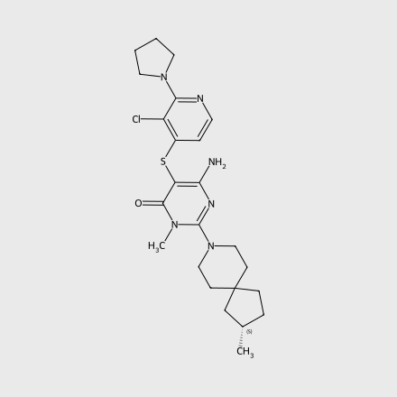 C[C@H]1CCC2(CCN(c3nc(N)c(Sc4ccnc(N5CCCC5)c4Cl)c(=O)n3C)CC2)C1